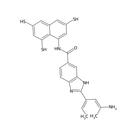 C/C=C(\C=C(/C)N)c1nc2ccc(C(=O)Nc3cc(S)cc4cc(S)cc(S)c34)cc2[nH]1